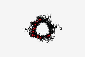 CCCC[C@H]1C(=O)N(C)[C@@H](CCCC)C(=O)N[C@@H](C)C(=O)N[C@H](C(=O)NCC(N)=O)CSCC(=O)N[C@@H](Cc2ccc(O)cc2)C(=O)N(C)[C@@H](C)C(=O)N[C@@H](CC(=O)O)C(=O)N2CCC[C@H]2C(=O)N[C@@H](Cc2cnc[nH]2)C(=O)N[C@@H](CCC(N)=O)C(=O)N2C[C@H](O)C[C@H]2C(=O)N[C@@H](Cc2c[nH]c3ccccc23)C(=O)N[C@@H](CO)C(=O)N[C@@H](Cc2cn(CC(=O)O)c3ccccc23)C(=O)N1C